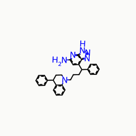 Nc1cc(C(CCCN2CCC(c3ccccc3)c3ccccc32)c2ccccc2)c2nn[nH]c2n1